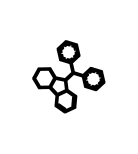 C1=CC2C(C=C1)C(C(c1ccccc1)c1ccccc1)C1CCCCC21